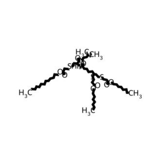 CCCCCCCCCCCCCOC(=O)CCSCCC(NC(=O)CCCCC(CCSCCC(=O)OCCCCCCCC)SCCC(=O)OCCCCCCCC)C(=O)NCCN(C)C